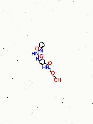 O=C(NCCOCCO)c1ccc2nc(Nc3nc4ccccc4o3)oc2c1